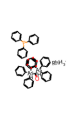 O=C([AsH](c1ccccc1)(c1ccccc1)c1ccccc1)[AsH](c1ccccc1)(c1ccccc1)c1ccccc1.[RhH3].c1ccc(P(c2ccccc2)c2ccccc2)cc1